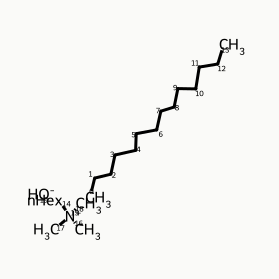 CCCCCCCCCCCCCC.CCCCCC[N+](C)(C)C.[OH-]